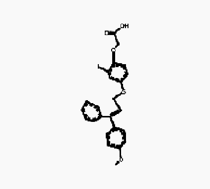 COc1ccc(C(=CCSc2ccc(OCC(=O)O)c(I)c2)c2ccccc2)cc1